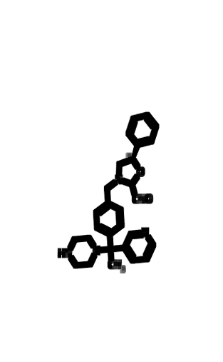 CC(c1ccc(CN2C[C@@H](c3ccccc3)OC2C=O)cc1)(c1cccnc1)N1CCNCC1